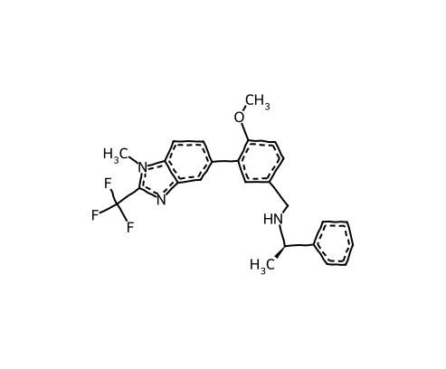 COc1ccc(CN[C@H](C)c2ccccc2)cc1-c1ccc2c(c1)nc(C(F)(F)F)n2C